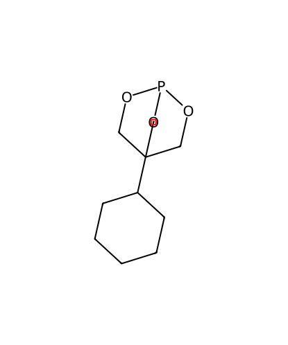 C1CCC(C23COP(OC2)OC3)CC1